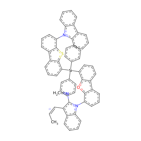 C=Nc1c(/C=C\C)c2ccccc2n1-c1cccc2c1oc1c([Si](c3ccccc3)(c3ccccc3)c3cccc4c3sc3c(-n5c6ccccc6c6ccccc65)cccc34)cccc12